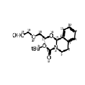 CC(C)(C)OC(=O)N1CCc2ccccc2C1OCCOCC=O